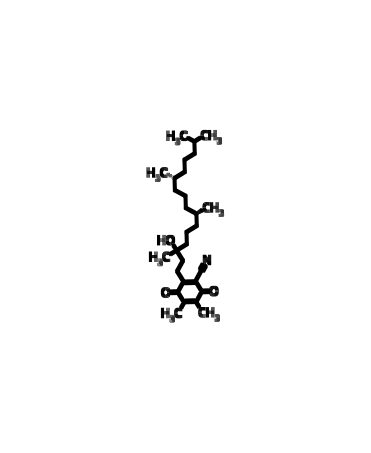 CC1=C(C)C(=O)C(CCC(C)(O)CCC[C@H](C)CCC[C@H](C)CCCC(C)C)=C(C#N)C1=O